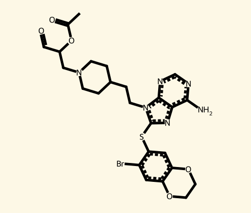 CC(=O)OC(C=O)CN1CCC(CCn2c(Sc3cc4c(cc3Br)OCCO4)nc3c(N)ncnc32)CC1